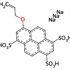 C=CCOc1cc(S(=O)(=O)O)c2ccc3c(S(=O)(=O)O)cc(S(=O)(=O)O)c4ccc1c2c43.[Na].[Na].[Na]